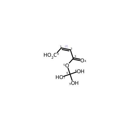 O=C(O)/C=C\C(=O)OC(O)(O)O